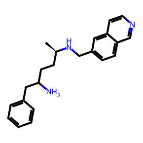 C[C@H](CCC(N)Cc1ccccc1)NCc1ccc2cnccc2c1